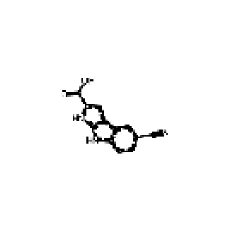 N#Cc1ccc2[nH]c3[nH]c(C(=O)O)cc3c2c1